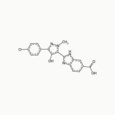 Cn1nc(-c2ccc(Cl)cc2)c(O)c1-c1nc2ccc(C(=O)O)cc2[nH]1